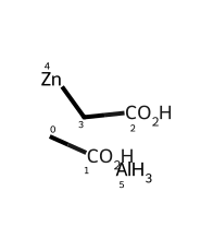 CC(=O)O.O=C(O)[CH2][Zn].[AlH3]